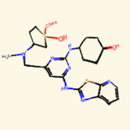 CN(Cc1cc(Nc2nc3cccnc3s2)nc(NC2CCC(O)CC2)n1)C1CCS(O)(O)C1